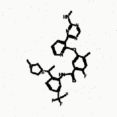 CNc1ncnc(-c2cccnc2Oc2cc(C(=O)Nc3cc(C(F)(F)F)ccc3C(C)[C@@H]3CCN(C)C3)c(F)cc2C)n1